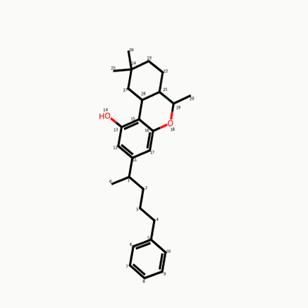 CC(CCCc1ccccc1)c1cc(O)c2c(c1)OC(C)C1CCC(C)(C)CC21